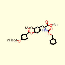 CCCCCCCOc1ccc(C(=O)Oc2ccc(C[C@H](NC(=O)OCc3ccccc3)C(=O)OC(C)(C)C)cc2OC)cc1